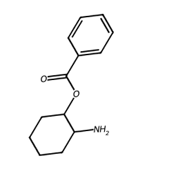 NC1CCCCC1OC(=O)c1ccccc1